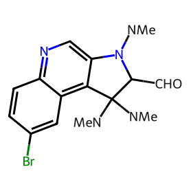 CNN1c2cnc3ccc(Br)cc3c2C(NC)(NC)C1C=O